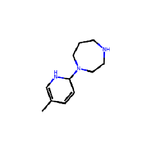 CC1=CNC(N2CCCNCC2)C=C1